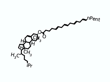 CCCCC/C=C/C/C=C/C/C=C/C/C=C/CCCC(=O)O[C@H]1CC[C@@]2(C)C(=CC[C@H]3[C@@H]4CC[C@H]([C@H](C)CCCC(C)C)[C@@]4(C)CC[C@@H]32)C1